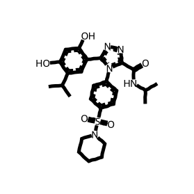 CC(C)NC(=O)c1nnc(-c2cc(C(C)C)c(O)cc2O)n1-c1ccc(S(=O)(=O)N2CCCCC2)cc1